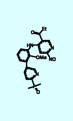 CCC(=O)c1cnc(N=O)cc1Nc1cccc(-c2ccc(P(C)(C)=O)nc2)c1OC